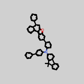 CC1(C)c2ccccc2-c2ccc(N(c3ccc(-c4ccccc4)cc3)c3cccc(-c4ccc5c(c4)oc4cc(-c6ccccc6)c6ccccc6c45)c3)cc21